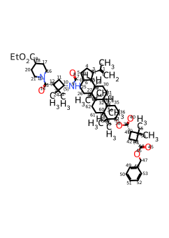 C=C(C)[C@@H]1CC[C@]2(C(=O)N[C@H]3C[C@@H](C(=O)N4CCC(C(=O)OCC)CC4)C3(C)C)CC[C@]3(C)[C@H](CC[C@@H]4[C@@]5(C)CC[C@H](OC(=O)[C@H]6C[C@@H](C(=O)OCc7ccccc7)C6(C)C)C(C)(C)[C@@H]5CC[C@]43C)[C@@H]12